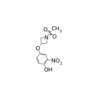 CS(=O)(=O)N1CC(Oc2ccc(O)c([N+](=O)[O-])c2)C1